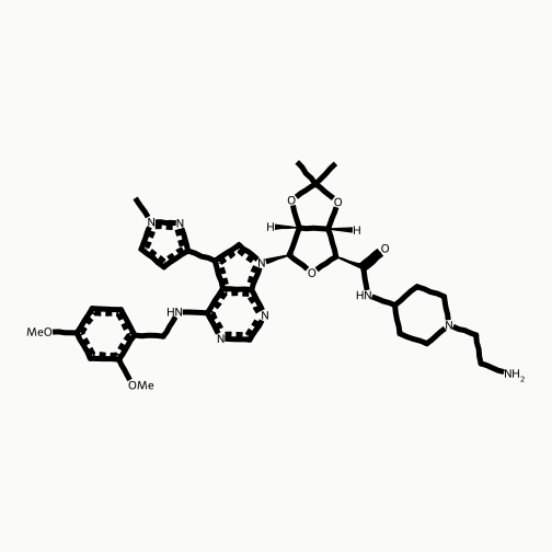 COc1ccc(CNc2ncnc3c2c(-c2ccn(C)n2)cn3[C@@H]2O[C@H](C(=O)NC3CCN(CCN)CC3)[C@H]3OC(C)(C)O[C@H]32)c(OC)c1